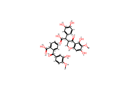 COc1c(O)cc2c(c1O)C(=O)C(C(C(=O)O)c1ccc(O)c(O)c1)CO2.COc1ccc(C(=O)c2ccccc2C(=O)O)cc1O